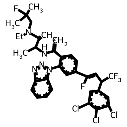 C=C(NC(C)C(=C)N(CC)CC(C)(C)F)c1ccc(/C(F)=C/C(c2cc(Cl)c(Cl)c(Cl)c2)C(F)(F)F)cc1-n1nnc2ccccc21